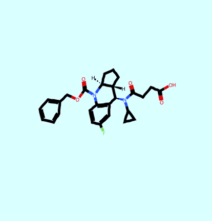 O=C(O)CCC(=O)N(C1CC1)[C@H]1c2cc(F)ccc2N(C(=O)OCc2ccccc2)[C@H]2CCC[C@@H]21